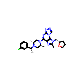 Cc1nc2c(N3C[C@@H](C)N([C@H](c4cccc(Cl)c4)C(C)C)C[C@@H]3C)nc3nncn3c2n1C[C@@H]1CCCO1